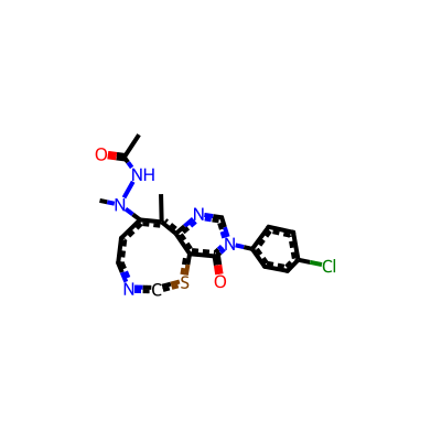 CC(=O)NN(C)c1ccncsc2c(=O)n(-c3ccc(Cl)cc3)cnc2c1C